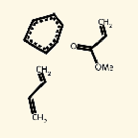 C=CC(=O)OC.C=CC=C.c1ccccc1